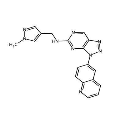 Cn1cc(CNc2ncc3nnn(-c4ccc5ncccc5c4)c3n2)cn1